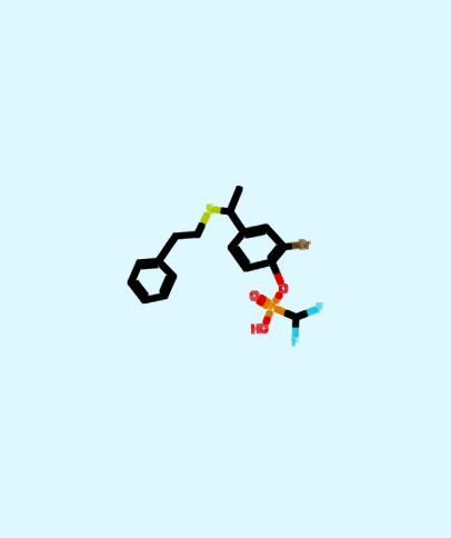 CC(SCCc1ccccc1)c1ccc(OP(=O)(O)C(F)F)c(Br)c1